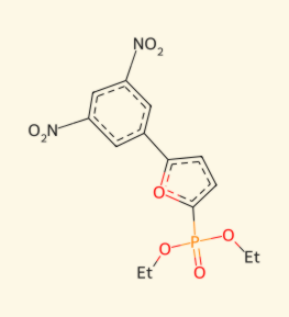 CCOP(=O)(OCC)c1ccc(-c2cc([N+](=O)[O-])cc([N+](=O)[O-])c2)o1